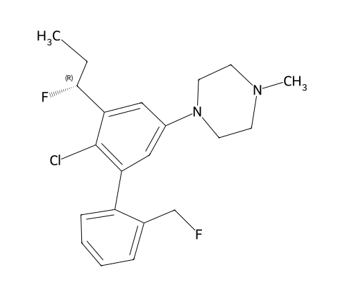 CC[C@@H](F)c1cc(N2CCN(C)CC2)cc(-c2ccccc2CF)c1Cl